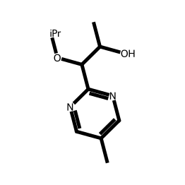 Cc1cnc(C(OC(C)C)C(C)O)nc1